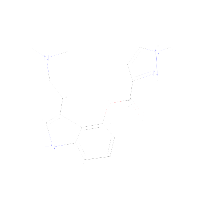 CN(C)CCc1c[nH]c2cccc(OC(=O)c3ccn(C)n3)c12